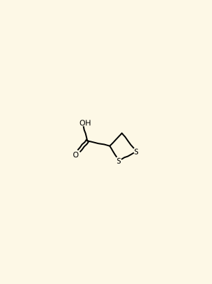 O=C(O)C1CSS1